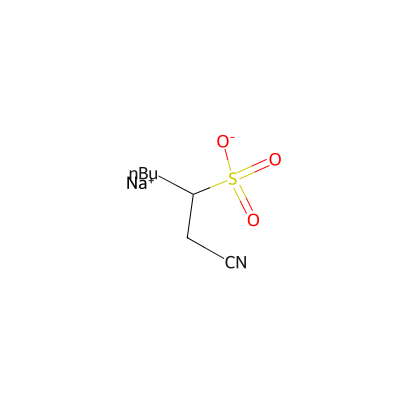 CCCCC(CC#N)S(=O)(=O)[O-].[Na+]